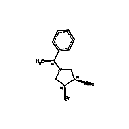 CN[C@@H]1CN([C@@H](C)c2ccccc2)C[C@@H]1C(C)C